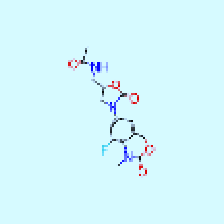 CC(=O)NCC1CN(c2cc(F)c3c(c2)COC(=O)N3C)C(=O)O1